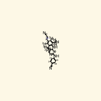 [2H]c1c(/C=C/C#N)c([2H])c(C([2H])([2H])[2H])c(Nc2ccnc(Nc3ccc(C#N)cc3)n2)c1C([2H])([2H])[2H]